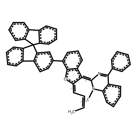 C\C=C/C=c1/oc2c(-c3ccc4c(c3)C3(c5ccccc5-c5ccccc53)c3ccccc3-4)cccc2/c1=C1\N=C(c2ccccc2)c2ccccc2N1C